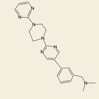 CN(C)Cc1cccc(-c2cnc(N3CCN(c4ncccn4)CC3)nc2)c1